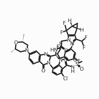 C[C@@H]1CN(c2ccc3c(=O)n(-c4ccc(Cl)c5c(NS(C)(=O)=O)nn(CC(F)(F)F)c45)c([C@H](Cc4cc(F)cc(F)c4)NC(=O)Cn4nc(C(F)F)c5c4C(F)(F)[C@@H]4C[C@H]54)nc3c2)C[C@H](C)O1